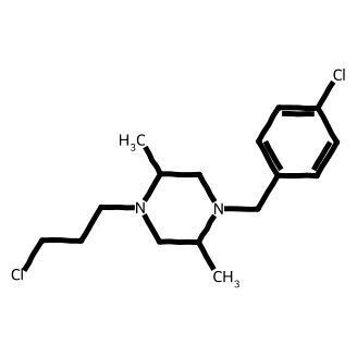 CC1CN(Cc2ccc(Cl)cc2)C(C)CN1CCCCl